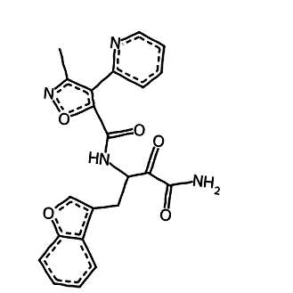 Cc1noc(C(=O)NC(Cc2coc3ccccc23)C(=O)C(N)=O)c1-c1ccccn1